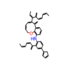 C=C(/C=C\C=C/C)C(=C\C)/C1=C/C=C\COc2c(Nc3ccc(C4=CC=CC4)cc3C(=C)/C=C\C=C/C)cccc2C1=C